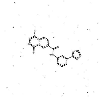 O=C(Nc1cccc(-c2ccco2)c1)c1ccc2c(Cl)n[nH]c(=O)c2c1